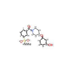 CNS(=O)(=O)c1cccc(C(=O)N2CCC(Oc3cccc(O)c3)CC2)c1